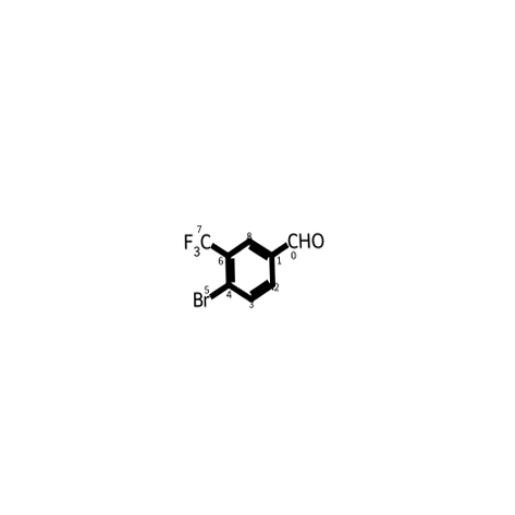 O=Cc1[c]cc(Br)c(C(F)(F)F)c1